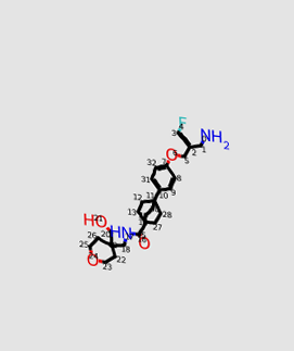 NCC(=CF)COc1ccc(C23CCC(C(=O)NCC4(CO)CCOCC4)(CC2)CC3)cc1